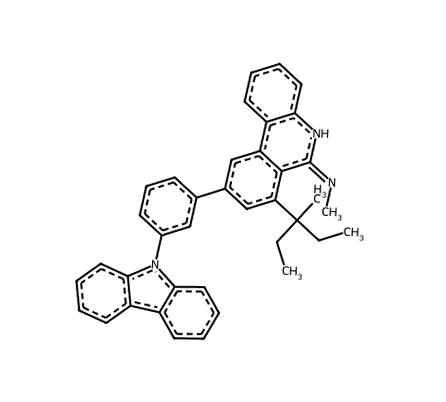 CCC(C)(CC)c1cc(-c2cccc(-n3c4ccccc4c4ccccc43)c2)cc2c1/c(=N\C)[nH]c1ccccc12